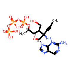 CC#CC1(N)C(CO)[C@@H]([C@@H](C)OP(=O)(O)OP(=O)(O)OP(=O)(O)O)O[C@H]1n1cnc2cnc(N)nc21